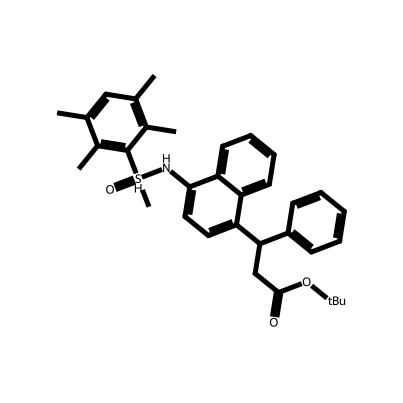 Cc1cc(C)c(C)c([SH](C)(=O)Nc2ccc(C(CC(=O)OC(C)(C)C)c3ccccc3)c3ccccc23)c1C